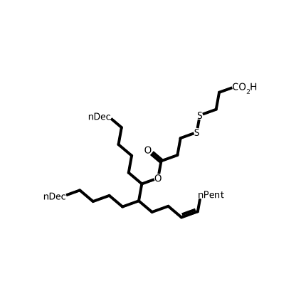 CCCCC/C=C\CCC(CCCCCCCCCCCCCC)C(CCCCCCCCCCCCCC)OC(=O)CCSSCCC(=O)O